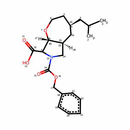 CC(C)C[C@@H]1CCO[C@H]2C(C(=O)O)N(C(=O)OCc3ccccc3)C[C@@H]2C1